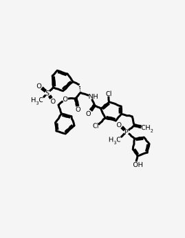 C=C(Cc1cc(Cl)c(C(=O)N[C@@H](Cc2cccc(S(C)(=O)=O)c2)C(=O)OCc2ccccc2)c(Cl)c1)P(C)(=O)c1cccc(O)c1